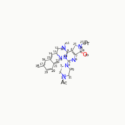 CC(=O)N1CCN(c2nc3c(c(N(C)Cc4cc5cc(C)ccc5cn4)n2)CN(C(C)C)C3=O)CC1